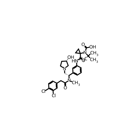 CN(C(=O)Cc1ccc(Cl)c(Cl)c1)[C@H](CN1CC[C@H](O)C1)c1cccc(NC(=O)C2(N(C(=O)O)C(C)(C)C)CC2)c1